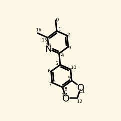 Cc1ccc(-c2ccc3c(c2)OCO3)nc1C